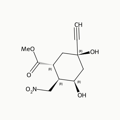 C#C[C@]1(O)C[C@@H](O)[C@@H](C[N+](=O)[O-])[C@H](C(=O)OC)C1